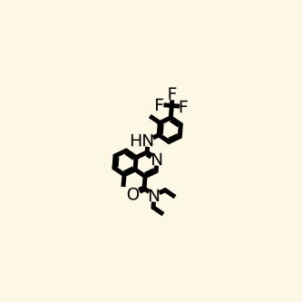 CCN(CC)C(=O)c1cnc(Nc2cccc(C(F)(F)F)c2C)c2cccc(C)c12